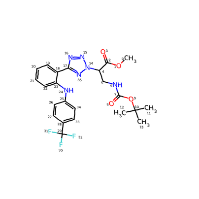 COC(=O)C(CNC(=O)OC(C)(C)C)n1nnc(-c2ccccc2Nc2ccc(C(F)(F)F)cc2)n1